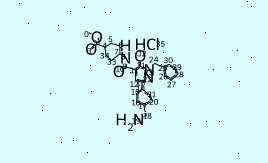 COC(=O)[C@H]1CC[C@H](NC(=O)c2cc(-c3ccc(CN)cc3)nn(Cc3ccccc3)c2=O)CC1.Cl